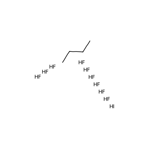 CCCC.F.F.F.F.F.F.F.F.F.I